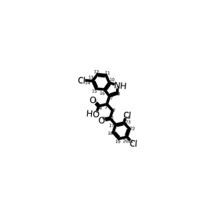 O=C(CC(C(=O)O)c1c[nH]c2ccc(Cl)cc12)c1ccc(Cl)cc1Cl